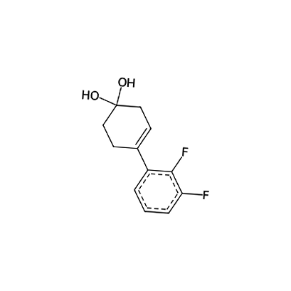 OC1(O)CC=C(c2cccc(F)c2F)CC1